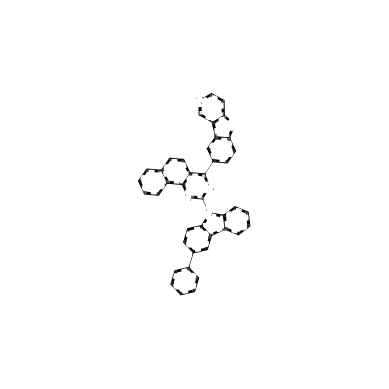 c1ccc(-c2ccc3c(c2)c2ccccc2n3-c2nc(-c3ccc4oc5ccncc5c4c3)c3ccc4ccccc4c3n2)cc1